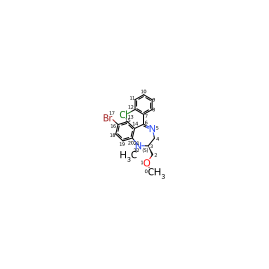 COC[C@@H]1CN=C(c2ccccc2Cl)c2cc(Br)ccc2N1C